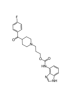 O=C(Nc1cccc2[nH]cnc12)OCCCN1CCC(C(=O)c2ccc(F)cc2)CC1